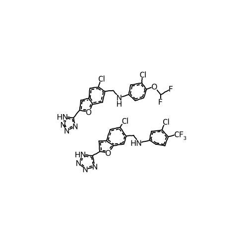 FC(F)(F)c1ccc(NCc2cc3oc(-c4nnn[nH]4)cc3cc2Cl)cc1Cl.FC(F)Oc1ccc(NCc2cc3oc(-c4nnn[nH]4)cc3cc2Cl)cc1Cl